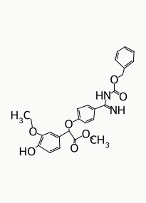 CCOc1cc(C(Oc2ccc(C(=N)NC(=O)OCc3ccccc3)cc2)C(=O)OC)ccc1O